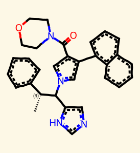 C[C@H](c1ccccc1)C(c1cnc[nH]1)n1cc(C(=O)N2CCOCC2)c(-c2cccc3ccccc23)c1